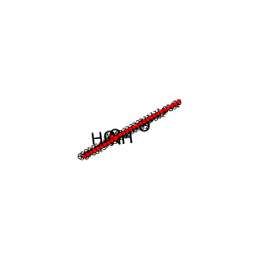 CCCCCCCCC=CCCCCCCCCCCCC(=O)CCCCCCCCCCCCCCC(=O)N[C@@H](CO)CCCCCCCCCCCCCCCCCC